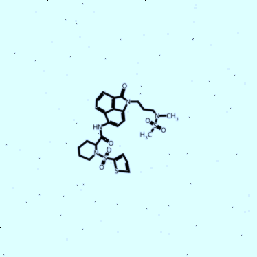 CN(CCCN1C(=O)c2cccc3c(NC(=O)C4CCCCN4S(=O)(=O)c4cccs4)ccc1c23)S(C)(=O)=O